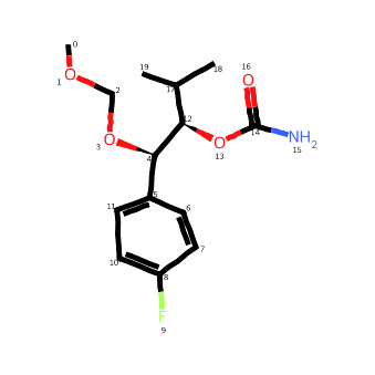 COCO[C@H](c1ccc(F)cc1)[C@H](OC(N)=O)C(C)C